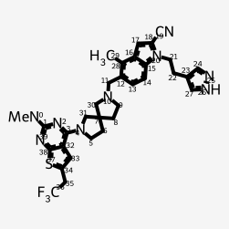 CNc1nc(N2CCC3(CCN(Cc4ccc5c(cc(C#N)n5CCc5cn[nH]c5)c4C)C3)C2)c2cc(CC(F)(F)F)sc2n1